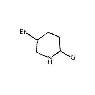 CCC1CCC(Cl)NC1